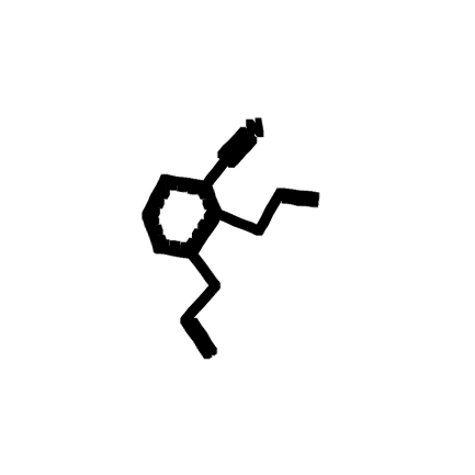 C=CCc1cccc(C#N)c1CC=C